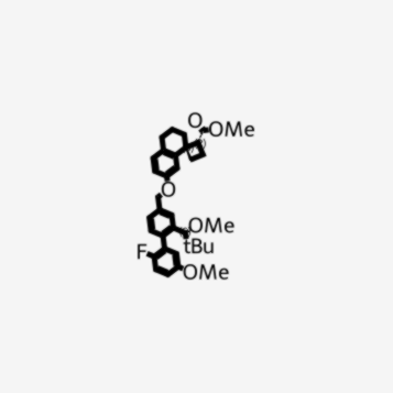 COC(=O)[C@@H]1CC[C@@]12CCCc1ccc(OCc3ccc(-c4cc(OC)ccc4F)c([C@@H](OC)C(C)(C)C)c3)cc12